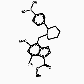 COc1cc(C)c2c(ccn2C(=O)OC(C)(C)C)c1CN1CCCCC1c1ccc(B(O)O)cc1